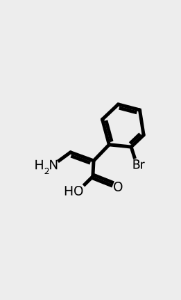 NC=C(C(=O)O)c1ccccc1Br